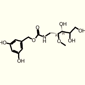 CO[C@H](CNC(=O)OCc1cc(O)cc(O)c1)[C@H](O)C(O)CO